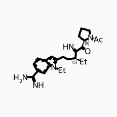 CC[C@@H](CCc1cc2ccc(C(=N)N)cc2n1CC)C(=N)C(=O)[C@H]1CCCN1C(C)=O